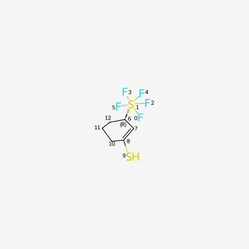 FS(F)(F)(F)(F)[C@H]1C=C(S)CCC1